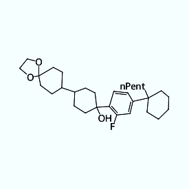 CCCCCC1(c2ccc(C3(O)CCC(C4CCC5(CC4)OCCO5)CC3)c(F)c2)CCCCC1